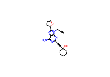 C#CCn1c(C2CC=CO2)nc2c(N)nc(C#CC3(O)CCCCC3)nc21